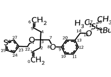 C=CCC(CC=C)(COc1cccc(CO[Si](C)(C)C(C)(C)C)c1)OCc1ccsc1